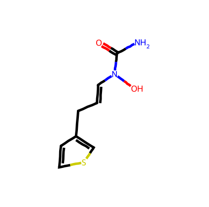 NC(=O)N(O)C=CCc1ccsc1